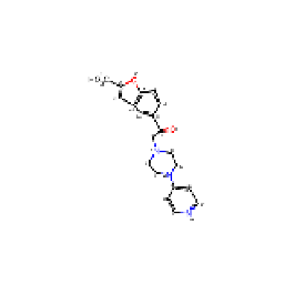 O=C(CN1CCN(c2ccncc2)CC1)c1ccc2oc(C(=O)O)cc2c1